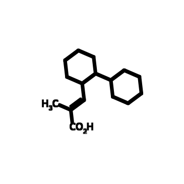 C/C(=C\C1CCCCC1C1CCCCC1)C(=O)O